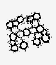 c1ccc(N2c3cc4c(cc3B3c5c(cc6oc7ccccc7c6c52)-c2cccc5c6ccccc6n3c25)B2c3c(cc5oc6ccccc6c5c3N4c3ccccc3)-c3cccc4c5ccccc5n2c34)cc1